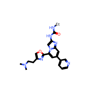 CCNC(=O)Nc1cn2c(-c3nc(CCN(C)C)co3)cc(-c3cccnc3)cc2n1